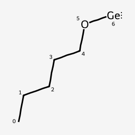 CCCCC[O][Ge]